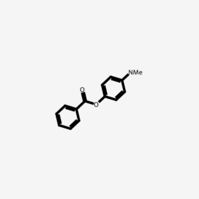 CNc1ccc(OC(=O)c2ccccc2)cc1